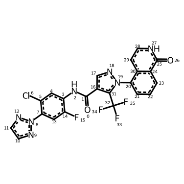 O=C(Nc1cc(Cl)c(-n2nccn2)cc1F)c1cnn(-c2cccc3c(=O)[nH]ccc23)c1C(F)(F)F